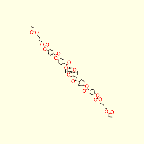 C=CC(=O)OCCCCOC(=O)Oc1ccc(C(=O)Oc2ccc(C(=O)C[C@H]3CO[C@H]4[C@@H]3OC[C@H]4OC(=O)c3ccc(OC(=O)c4ccc(OC(=O)OCCCCOC(=O)C=C)cc4)cc3)cc2)cc1